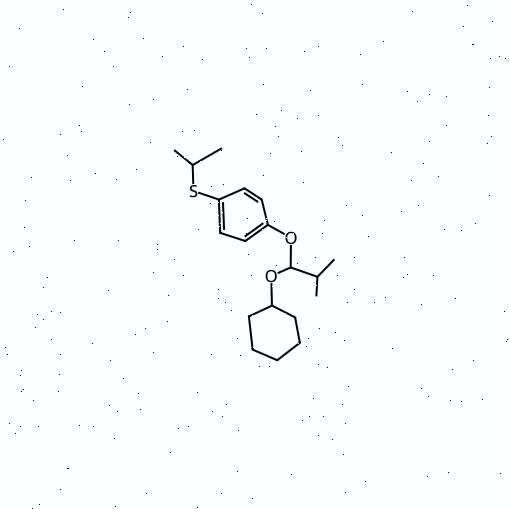 CC(C)Sc1ccc(OC(OC2CCCCC2)C(C)C)cc1